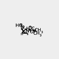 CC(C)(C)OC(=O)N1CC2CC2(C=NO)C1